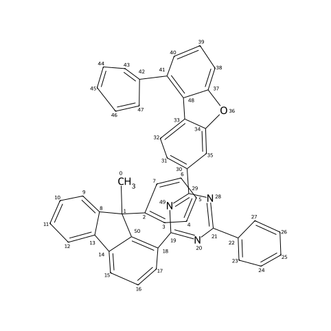 CC1(c2ccccc2)c2ccccc2-c2cccc(-c3nc(-c4ccccc4)nc(-c4ccc5c(c4)oc4cccc(-c6ccccc6)c45)n3)c21